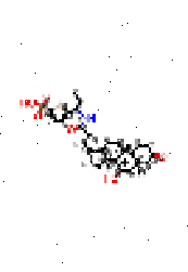 CCC(NC(=O)C[C@@H](C)[C@H]1CC[C@H]2[C@@H]3[C@H](O)C[C@@H]4CC(=O)CC[C@]4(C)[C@H]3CC[C@]12C)c1ccc(S(=O)(=O)O)s1